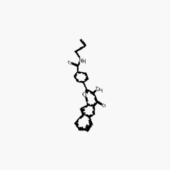 CCCNC(=O)c1ccc(-c2oc3cc4ccccc4cc3c(=O)c2O)cc1